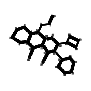 C=CCn1c2ccccc2c(=O)c2c(=O)n(-c3ccccc3)c(C3=CC=C3)nc21